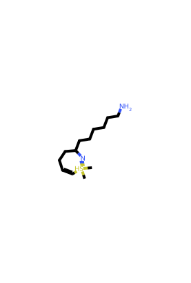 C[SH]1(C)=NC(CCCCCCN)CCC=C1